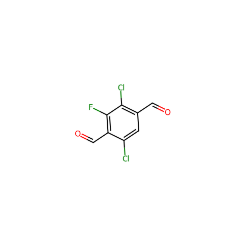 O=Cc1cc(Cl)c(C=O)c(F)c1Cl